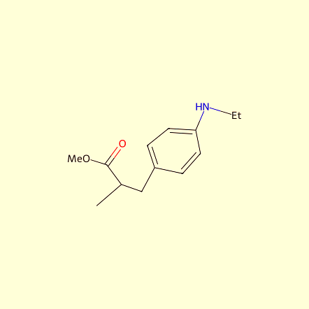 CCNc1ccc(CC(C)C(=O)OC)cc1